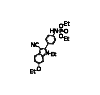 CCOc1ccc2c(C#N)c(-c3ccc(NP(=O)(OCC)OCC)cc3)n(CC)c2c1